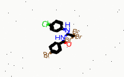 O=C(NC(Nc1ccc(Cl)cc1)C(Br)(Br)Br)c1ccc(Br)cc1